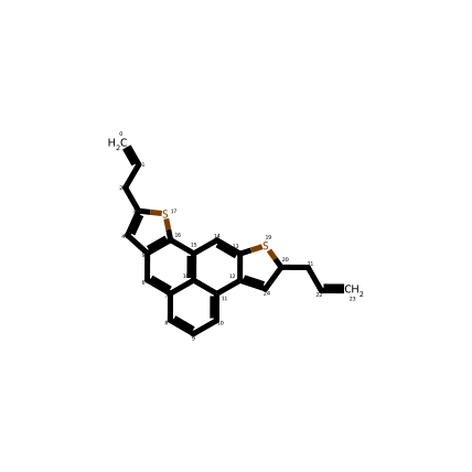 C=CCc1cc2cc3cccc4c5c(cc(c2s1)c34)SC(CC=C)C=5